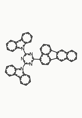 c1ccc2cc3c(cc2c1)-c1cccc2c(-c4nc(-n5c6ccccc6c6ccccc65)nc(-n5c6ccccc6c6ccccc65)n4)ccc-3c12